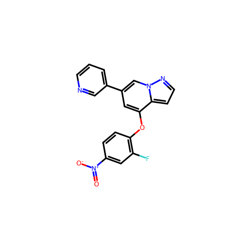 O=[N+]([O-])c1ccc(Oc2cc(-c3cccnc3)cn3nccc23)c(F)c1